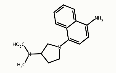 CN(C(=O)O)C1CCN(c2ccc(N)c3ccccc23)C1